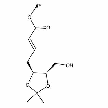 CC(C)OC(=O)/C=C/C[C@@H]1OC(C)(C)O[C@@H]1CO